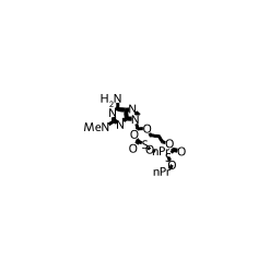 CCCOSC(=O)OCCCOC(OC(=O)SOCCC)n1cnc2c(N)nc(NC)nc21